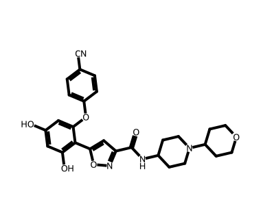 N#Cc1ccc(Oc2cc(O)cc(O)c2-c2cc(C(=O)NC3CCN(C4CCOCC4)CC3)no2)cc1